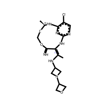 C/C(NC1CN(C2COC2)C1)=C1\Nc2ncc(Cl)c(n2)N[C@H](C)CCOC1=N